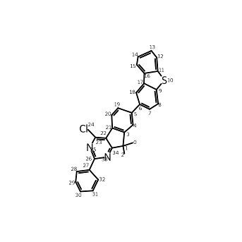 CC1(C)c2cc(-c3ccc4sc5ccccc5c4c3)ccc2-c2c(Cl)nc(-c3ccccc3)nc21